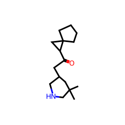 CC1(C)CNCC(CC(=O)C2CC23CCCC3)C1